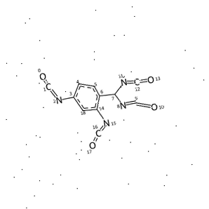 O=C=Nc1ccc(C(N=C=O)N=C=O)c(N=C=O)c1